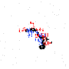 CC(NC(CNC(=O)CNC(O)c1cc(O)cc(NC2=NCC(O)CN2)c1)C(=O)O)C1=Nc2ccccc2C1O